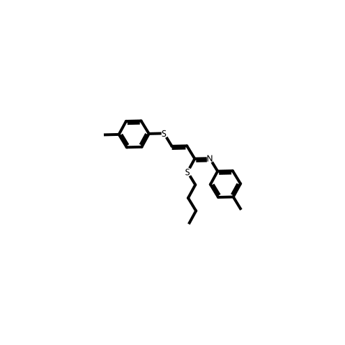 CCCCSC(C=CSc1ccc(C)cc1)=Nc1ccc(C)cc1